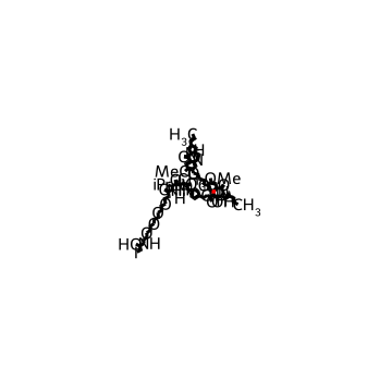 C/C=C/C1=CN2C(=O)c3cc(OC)c(OCCCOc4cc5c(cc4OC)C(=O)N4C=C(/C=C/C)C[C@H]4[C@H](O)N5C(=O)OCc4ccc(NC(=O)[C@H](C)NC(=O)[C@@H](NC(=O)CCOCCOCCOCCOCCNC(O)CI)C(C)C)cc4)cc3N=C[C@@H]2C1